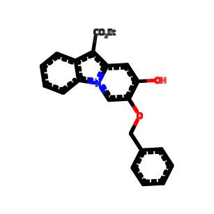 CCOC(=O)c1c2ccccc2n2cc(OCc3ccccc3)c(O)cc12